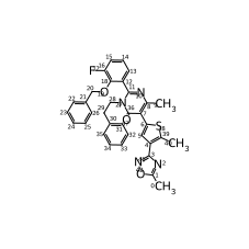 Cc1nc(-c2cc(-c3c(C)nc(-c4cccc(F)c4OCc4ccccc4)n(CCc4ccccc4)c3=O)sc2C)no1